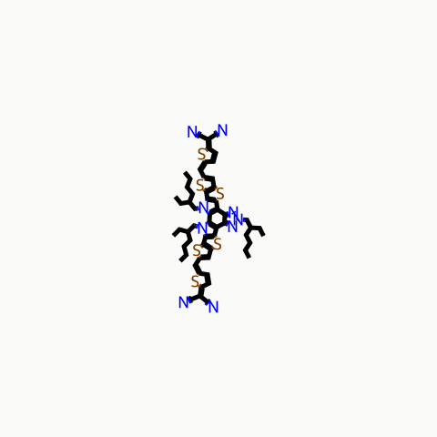 CCCCC(CC)Cn1nc2c(n1)c1c3sc4cc(/C=c5\ccc(=C(C#N)C#N)s5)sc4c3n(CC(CC)CCCC)c1c1c2c2sc3cc(/C=c4\ccc(=C(C#N)C#N)s4)sc3c2n1CC(CC)CCCC